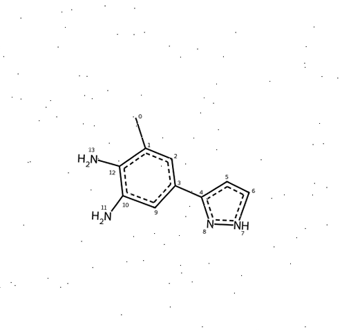 Cc1cc(-c2cc[nH]n2)cc(N)c1N